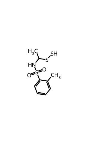 Cc1ccccc1S(=O)(=O)NC(C)SS